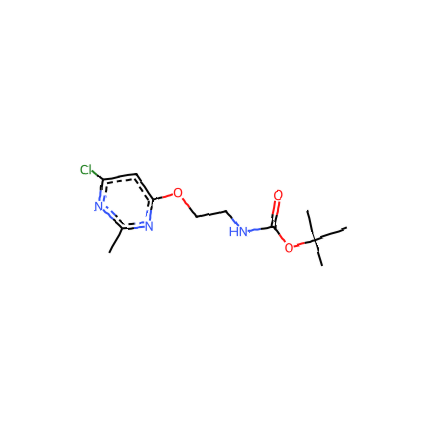 Cc1nc(Cl)cc(OCCNC(=O)OC(C)(C)C)n1